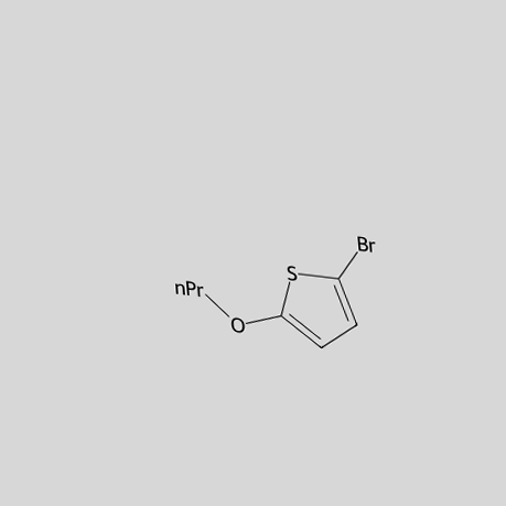 CCCOc1ccc(Br)s1